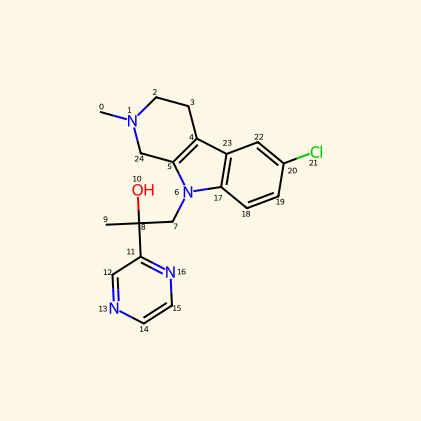 CN1CCc2c(n(CC(C)(O)c3cnccn3)c3ccc(Cl)cc23)C1